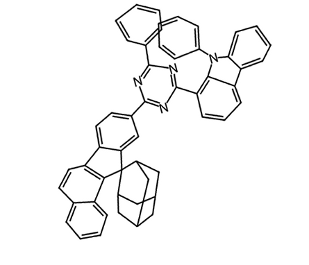 c1ccc(-c2nc(-c3ccc4c(c3)C3(c5c-4ccc4ccccc54)C4CC5CC(C4)CC3C5)nc(-c3cccc4c5ccccc5n(-c5ccccc5)c34)n2)cc1